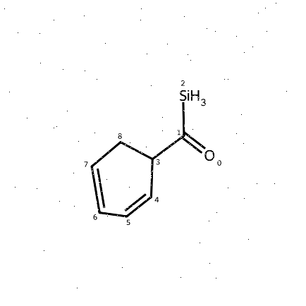 O=C([SiH3])C1C=CC=CC1